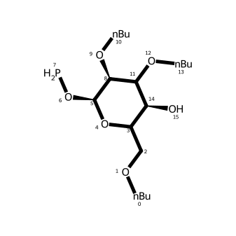 CCCCOCC1O[C@@H](OP)[C@@H](OCCCC)C(OCCCC)[C@H]1O